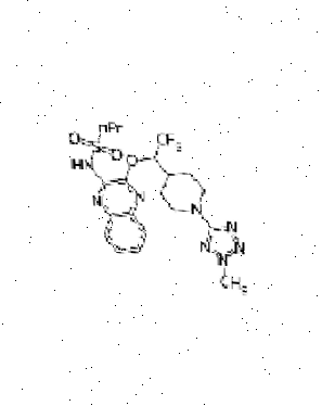 CCCS(=O)(=O)Nc1nc2ccccc2nc1OC(C1CCN(c2nnn(C)n2)CC1)C(F)(F)F